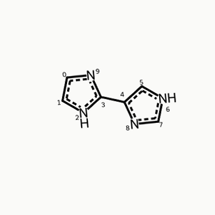 c1c[nH]c(-c2c[nH]cn2)n1